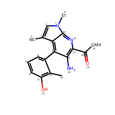 CCn1cc(C#N)c2c(-c3cccc(O)c3C)c(N)c(C(=O)OC)nc21